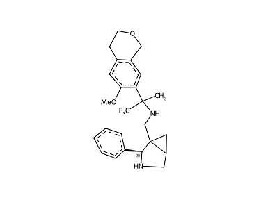 COc1cc2c(cc1C(C)(NCC13CC1CN[C@H]3c1ccccc1)C(F)(F)F)COCC2